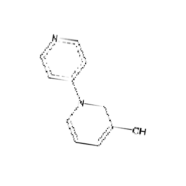 OC1=CC=CN(c2ccncc2)C1